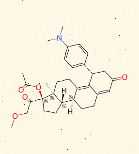 COCC(=O)[C@@]1(OC(C)=O)CC[C@H]2[C@@H]3CCC4=CC(=O)CC(c5ccc(N(C)C)cc5)C4=C3CC[C@@]21C